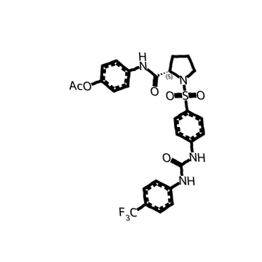 CC(=O)Oc1ccc(NC(=O)[C@@H]2CCCN2S(=O)(=O)c2ccc(NC(=O)Nc3ccc(C(F)(F)F)cc3)cc2)cc1